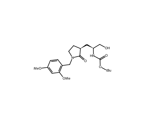 COc1ccc(CN2CC[C@@H](C[C@@H](CO)NC(=O)OC(C)(C)C)C2=O)c(OC)c1